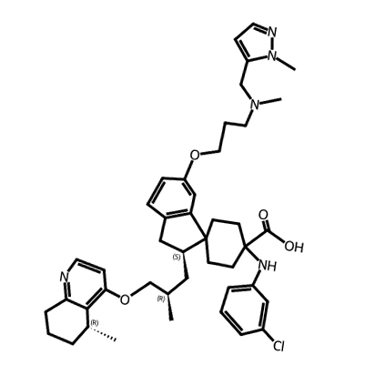 C[C@@H](COc1ccnc2c1[C@H](C)CCC2)C[C@H]1Cc2ccc(OCCCN(C)Cc3ccnn3C)cc2C12CCC(Nc1cccc(Cl)c1)(C(=O)O)CC2